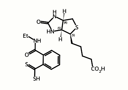 CCNC(=O)c1ccccc1C(=S)S.O=C(O)CCCC[C@@H]1SC[C@@H]2NC(=O)N[C@@H]21